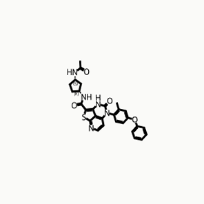 CC(=O)N[C@H]1CC[C@@H](NC(=O)c2sc3nccc4c3c2NC(=O)N4c2ccc(Oc3ccccc3)cc2C)C1